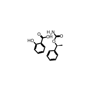 C[C@H](OC(N)=O)c1ccccc1.O=C(O)c1ccccc1O